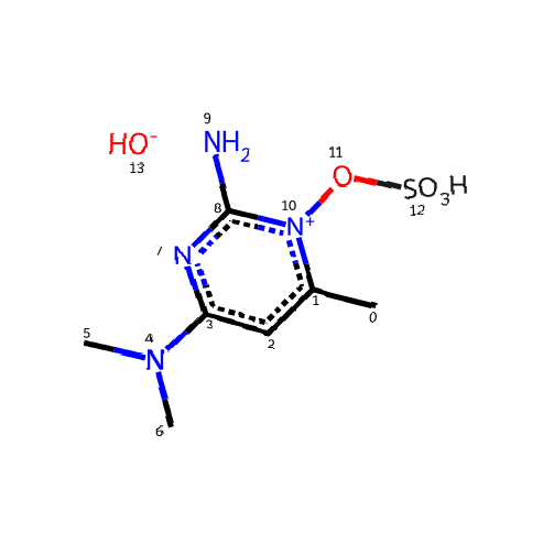 Cc1cc(N(C)C)nc(N)[n+]1OS(=O)(=O)O.[OH-]